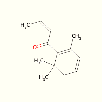 C/C=C\C(=O)C1=C(C)C=CCC1(C)C